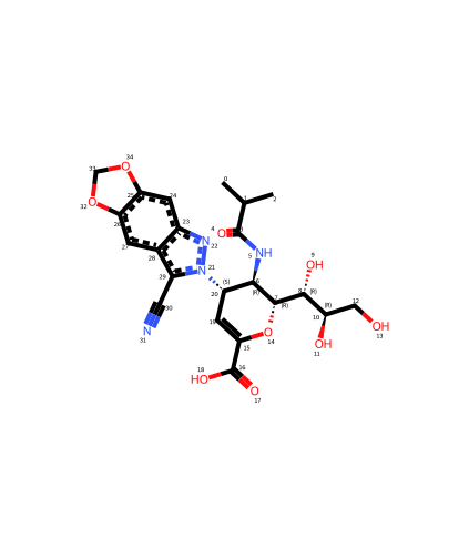 CC(C)C(=O)N[C@H]1[C@H]([C@H](O)[C@H](O)CO)OC(C(=O)O)=C[C@@H]1n1nc2cc3c(cc2c1C#N)OCO3